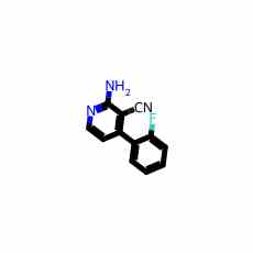 N#Cc1c(-c2ccccc2F)ccnc1N